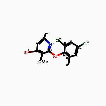 COc1c(Br)cc(C)nc1Oc1c(C)cc(Cl)cc1Cl